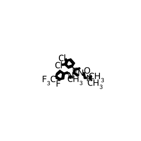 CN(C)CC(=O)N1C[C@H](c2ccc(Cl)c(Cl)c2)[C@@H](N(C)Cc2ccc(C(F)(F)F)c(F)c2)C1